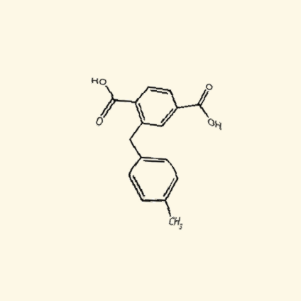 Cc1ccc(Cc2cc(C(=O)O)ccc2C(=O)O)cc1